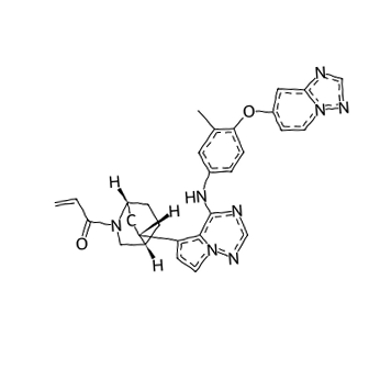 C=CC(=O)N1C[C@H]2CC[C@@H]1C[C@@H]2c1ccn2ncnc(Nc3ccc(Oc4ccn5ncnc5c4)c(C)c3)c12